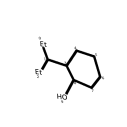 CCC(CC)C1CCCCC1O